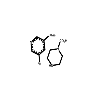 O=C(O)N1CCNCC1.[2H]c1cncc(OC)c1